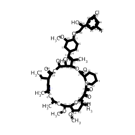 CCC1/C=C(\C)CC(C)CC(OC)C2OC(O)(C(=O)C(=O)N3CCCCC3C(=O)OC(C(C)=CC3CCC(OCC(O)c4cc(F)cc(Cl)c4)C(OC)C3)C(C)C(O)CC1=O)C(C)CC2OC